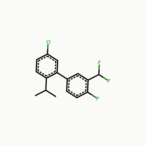 CC(C)c1ccc(Cl)cc1-c1ccc(F)c(C(F)F)c1